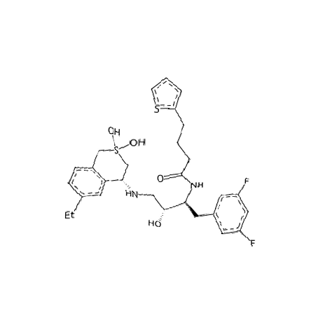 CCc1ccc2c(c1)[C@@H](NC[C@@H](O)[C@H](Cc1cc(F)cc(F)c1)NC(=O)CCCc1cccs1)CS(O)(O)C2